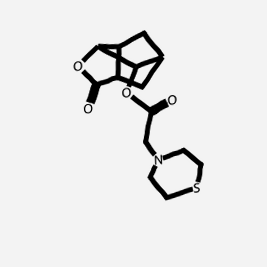 O=C(CN1CCSCC1)OC1C2CC3C(=O)OC1C3C2